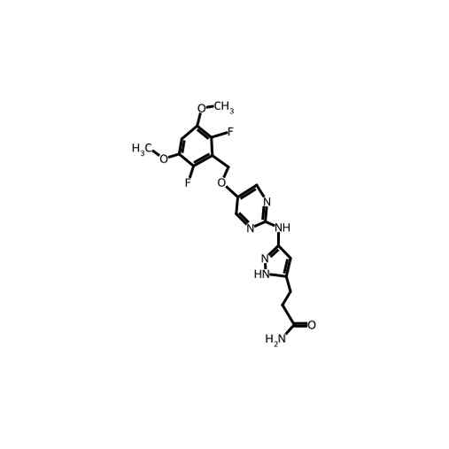 COc1cc(OC)c(F)c(COc2cnc(Nc3cc(CCC(N)=O)[nH]n3)nc2)c1F